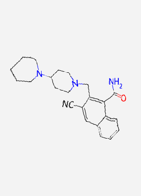 N#Cc1cc2ccccc2c(C(N)=O)c1CN1CCC(N2CCCCC2)CC1